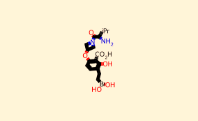 CC(C)C(N)C(=O)N1CC(Oc2ccc(CCB(O)O)c(O)c2C(=O)O)C1